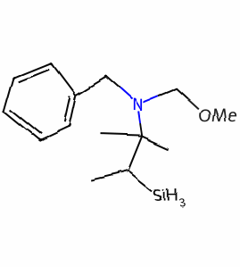 COCN(Cc1ccccc1)C(C)(C)C(C)[SiH3]